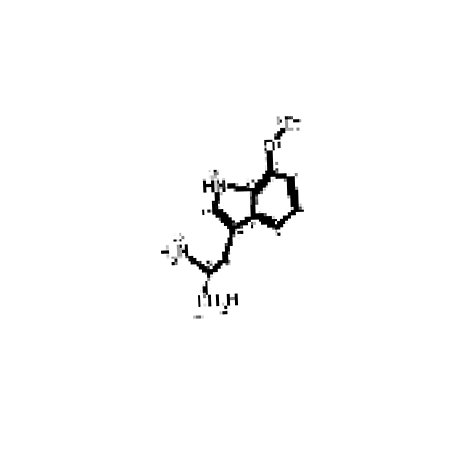 CCOc1cccc2c(C[C@H](N)C(=O)O)c[nH]c12